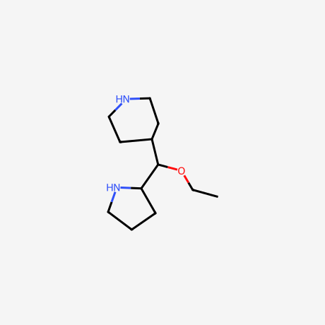 CCOC(C1CCNCC1)C1CCCN1